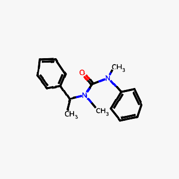 CC(c1ccccc1)N(C)C(=O)N(C)c1ccccc1